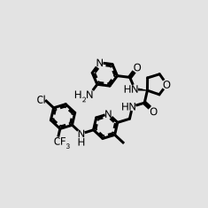 Cc1cc(Nc2ccc(Cl)cc2C(F)(F)F)cnc1CNC(=O)[C@]1(NC(=O)c2cncc(N)c2)CCOC1